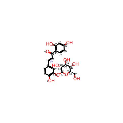 O=C(/C=C/c1ccc(O)c(O[C@@H]2O[C@H](CO)[C@@H](O)[C@H](O)[C@H]2O)c1)c1ccc(O)cc1O